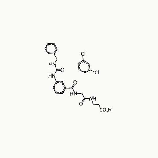 Clc1cccc(Cl)c1.O=C(O)CCNC(=O)CNC(=O)c1cccc(NC(=O)NCc2ccccc2)c1